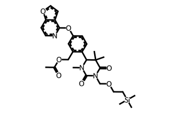 CC(=O)OCc1cc(Oc2nccc3occc23)ccc1C1N(C)C(=O)N(COCC[Si](C)(C)C)C(=O)C1(C)C